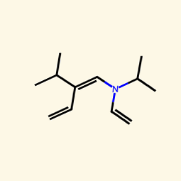 C=C/C(=C\N(C=C)C(C)C)C(C)C